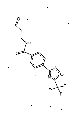 Cc1cc(C(=O)NCCC=O)ccc1-c1noc(C(F)(F)F)n1